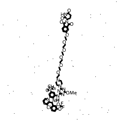 COc1nc(Nc2cc(S(C)(=O)=O)ccc2N[C@@H](c2cccc3c2OC(F)(F)O3)c2ncccc2Cl)nc(N2CCN(CCOCCOCCOCCOCCOCCOc3ccc4c(c3)C(=O)N(C3CCC(=O)NC3=O)C4=O)CC2)n1